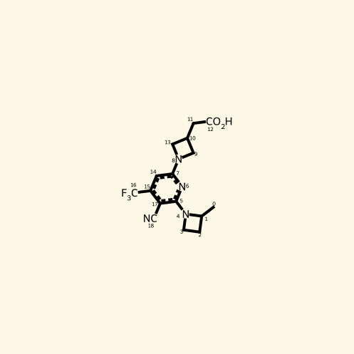 CC1CCN1c1nc(N2CC(CC(=O)O)C2)cc(C(F)(F)F)c1C#N